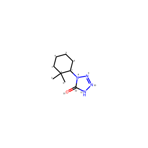 CC1(C)CCCCC1n1nn[nH]c1=O